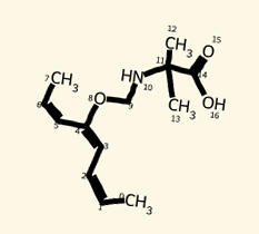 C\C=C/C=C(\C=C/C)OCNC(C)(C)C(=O)O